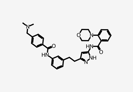 CN(C)Cc1ccc(C(=O)Nc2cccc(CCc3cc(NC(=O)c4ccccc4N4CCOCC4)[nH]n3)c2)cc1